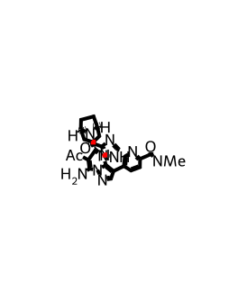 CNC(=O)c1ccc(-c2cnn3c(N)c(C(C)=O)c([C@@H]4C[C@H]5CC[C@@H](C4)N5C(=O)c4nc[nH]n4)nc23)cn1